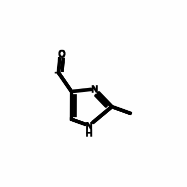 Cc1nc([C]=O)c[nH]1